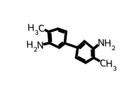 Cc1ccc(-c2ccc(C)c(N)c2)cc1N